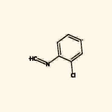 [CH]=Nc1cc[c]cc1Cl